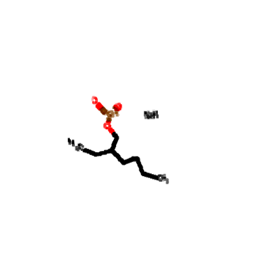 CCCCC(CC)CO[SH](=O)=O.[NaH]